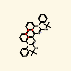 CC(C)(C)N/C(=N/c1ccccc1/N=C(/NC(C)(C)C)P(c1ccccc1)c1ccccc1)P(c1ccccc1)c1ccccc1